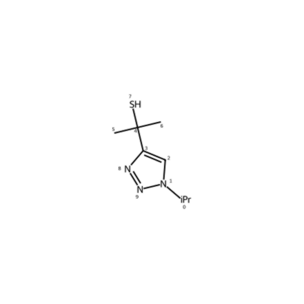 CC(C)n1cc(C(C)(C)S)nn1